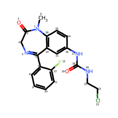 CN1C(=O)CN=C(c2ccccc2F)c2cc(NC(=O)NCCCl)ccc21